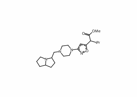 COC(=O)C(c1cc(N2CCN(CC3CCC4CCCN43)CC2)no1)C(C)C